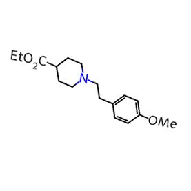 CCOC(=O)C1CCN(CCc2ccc(OC)cc2)CC1